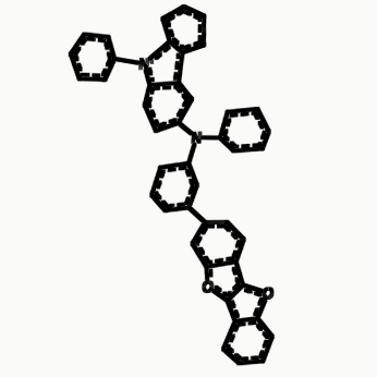 c1ccc(N(c2cccc(-c3ccc4c(c3)oc3c5ccccc5oc43)c2)c2ccc3c(c2)c2ccccc2n3-c2ccccc2)cc1